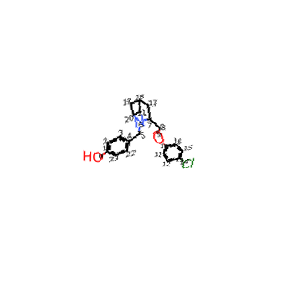 Oc1ccc(CN2C(COc3ccc(Cl)cc3)CC3CC2C3)cc1